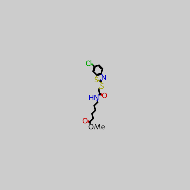 COC(=O)CCCCCNC(=O)CSc1nc2ccc(Cl)cc2s1